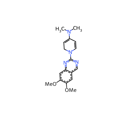 COc1cc2cnc(N3C=CC(N(C)C)=CC3)nc2cc1OC